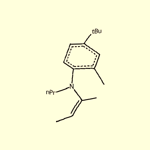 C/C=C(/C)N(CCC)c1ccc(C(C)(C)C)cc1C